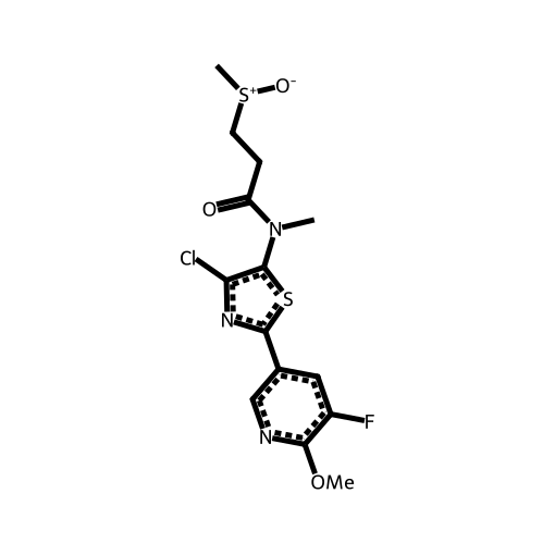 COc1ncc(-c2nc(Cl)c(N(C)C(=O)CC[S+](C)[O-])s2)cc1F